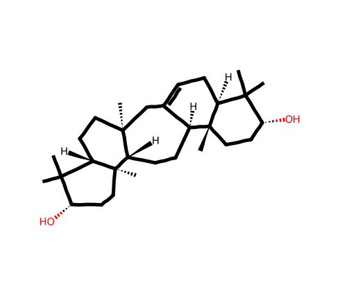 CC1(C)[C@@H](O)CC[C@@]2(C)[C@H]1CC[C@@]1(C)CC3=CC[C@H]4C(C)(C)[C@H](O)CC[C@]4(C)[C@H]3CC[C@@H]12